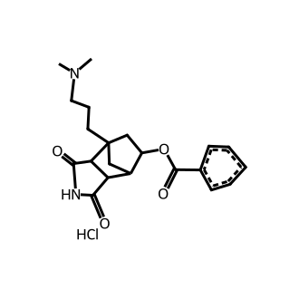 CN(C)CCCC12CC(OC(=O)c3ccccc3)C(C1)C1C(=O)NC(=O)C12.Cl